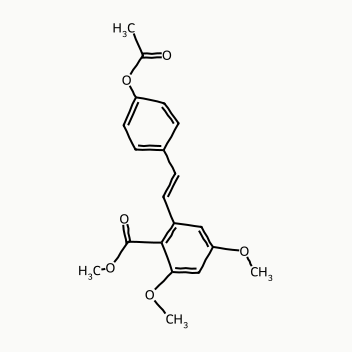 COC(=O)c1c(/C=C/c2ccc(OC(C)=O)cc2)cc(OC)cc1OC